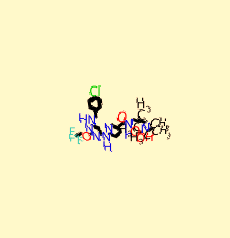 CC(C)(CNC(=O)c1ccc(Nc2cc(NCc3ccc(Cl)cc3)nc(OCC(F)(F)F)n2)nc1)CN(C(=O)O)C(C)(C)C